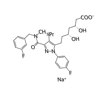 CC(C)c1c(C(=O)N(C)Cc2cccc(F)c2)nn(-c2ccc(F)cc2)c1CC[C@@H](O)C[C@@H](O)CC(=O)[O-].[Na+]